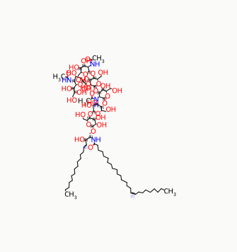 CCCCCCCC/C=C\CCCCCCCCCCCCCCCC(=O)N[C@@H](CO[C@@H]1OC(CO)[C@@H](O[C@@H]2OC(CO)[C@H](O[C@@H]3OC(CO)[C@H](O)[C@H](O[C@@H]4OC(CO)[C@H](O[C@@H]5OC(CO)[C@H](O)[C@H](O)C5NC(C)=O)[C@H](O[C@]5(C(=O)O)CC(O)[C@@H](NC(C)=O)C([C@H](O)[C@H](O)CO)O5)C4O)C3NC(C)=O)[C@H](O)C2O)[C@H](O)C1O)[C@H](O)/C=C/CCCCCCCCCCCCC